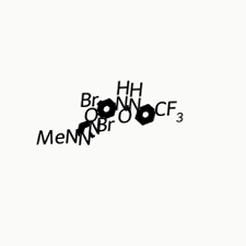 CNc1cc(Oc2c(Br)cc(NC(=O)Nc3cccc(C(F)(F)F)c3)cc2Br)ncn1